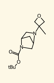 CC(C)(C)OC(=O)N1CC2CC1CN2C1(C)COC1